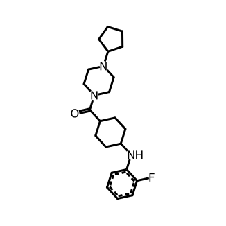 O=C(C1CCC(Nc2ccccc2F)CC1)N1CCN(C2CCCC2)CC1